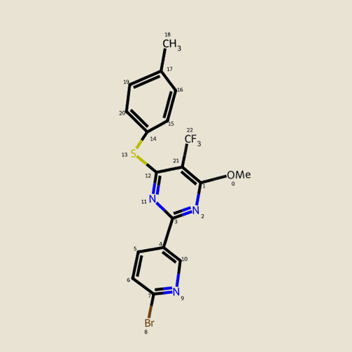 COc1nc(-c2ccc(Br)nc2)nc(Sc2ccc(C)cc2)c1C(F)(F)F